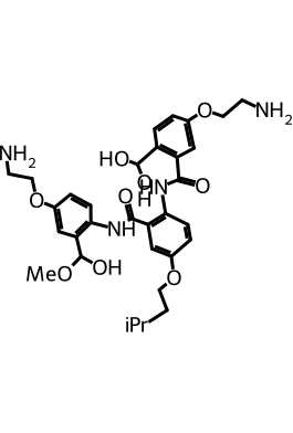 COC(O)c1cc(OCCN)ccc1NC(=O)c1cc(OCCC(C)C)ccc1NC(=O)c1cc(OCCN)ccc1C(O)O